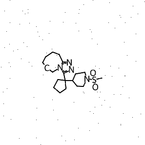 CS(=O)(=O)N1CCC(C2(c3nnc4n3CCCCCC4)CCCC2)CC1